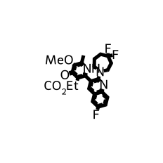 CCOC(=O)c1c(-c2cc3cc(F)ccc3nc2N2CCCC(F)(F)CC2)[nH]c(C)c(OC)c1=O